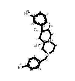 CCc1ccc(CN2CCN3C[C@H](C)[C@](C)(c4cccc(O)c4)C[C@@H]3C2)cc1